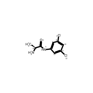 C[C@H](N)C(=O)Nc1cc(Cl)[c]c(Cl)c1